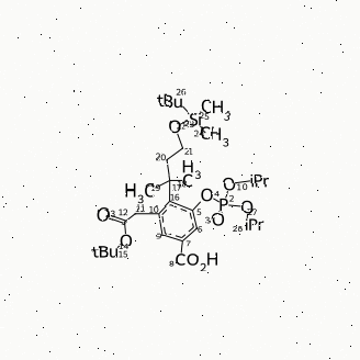 CC(C)OP(=O)(Oc1cc(C(=O)O)cc(CC(=O)OC(C)(C)C)c1C(C)(C)CCO[Si](C)(C)C(C)(C)C)OC(C)C